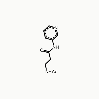 CC(=O)NCCC(=O)Nc1c[c]cnc1